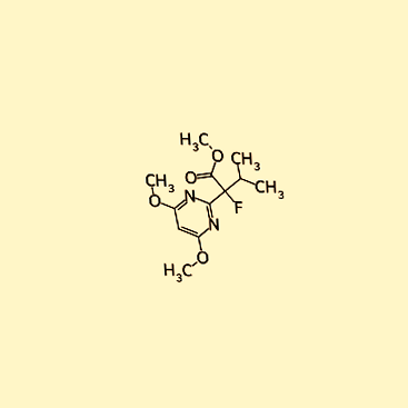 COC(=O)C(F)(c1nc(OC)cc(OC)n1)C(C)C